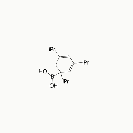 CC(C)C1=CC(B(O)O)(C(C)C)CC(C(C)C)=C1